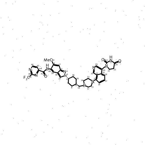 COc1cc2nn([C@H]3CC[C@H](CN4CCN(c5cccc6c(N7CCC(=O)NC7=O)cncc56)CC4)CC3)cc2cc1NC(=O)c1ccnc(C(F)(F)F)n1